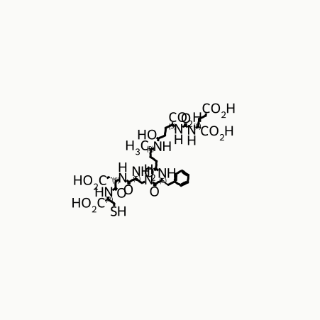 C[C@H](CCC(=O)N[C@@H](Cc1ccccc1)C(=O)NC[C@H](N)C(=O)N[C@@H](CC(=O)O)C(=O)N[C@@H](CS)C(=O)O)NC(O)CC[C@H](NC(=O)N[C@@H](CCC(=O)O)C(=O)O)C(=O)O